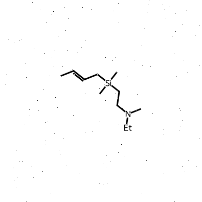 CC=CC[Si](C)(C)CCN(C)CC